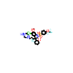 COc1cc2c(cc1Cl)C(CCCN1CCNCC1)(c1ccccc1F)C(=O)N2S(=O)(=O)c1ccc(OC(F)(F)F)cc1